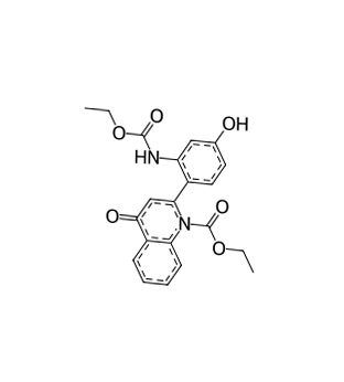 CCOC(=O)Nc1cc(O)ccc1-c1cc(=O)c2ccccc2n1C(=O)OCC